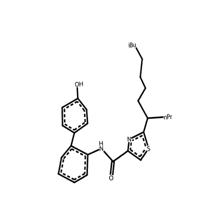 CCCC(CCCCC(C)CC)c1nc(C(=O)Nc2ccccc2-c2ccc(O)cc2)cs1